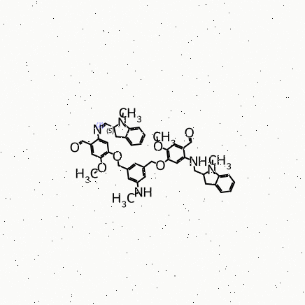 CNc1cc(COc2cc(/N=C\[C@@H]3Cc4ccccc4N3C)c(C=O)cc2OC)cc(COc2cc(NCC3Cc4ccccc4N3C)c(C=O)cc2OC)c1